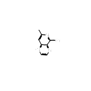 Cc1cc2nccnc2c(C(C)C)n1